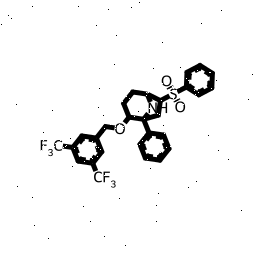 O=S(=O)(c1ccccc1)C1CC2(c3ccccc3)NC1CCC2OCc1cc(C(F)(F)F)cc(C(F)(F)F)c1